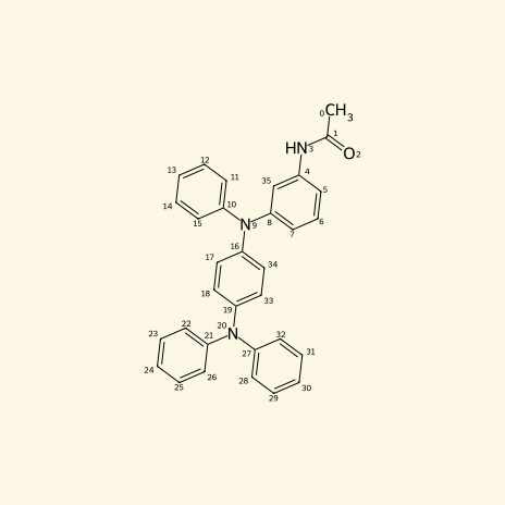 CC(=O)Nc1cccc(N(c2ccccc2)c2ccc(N(c3ccccc3)c3ccccc3)cc2)c1